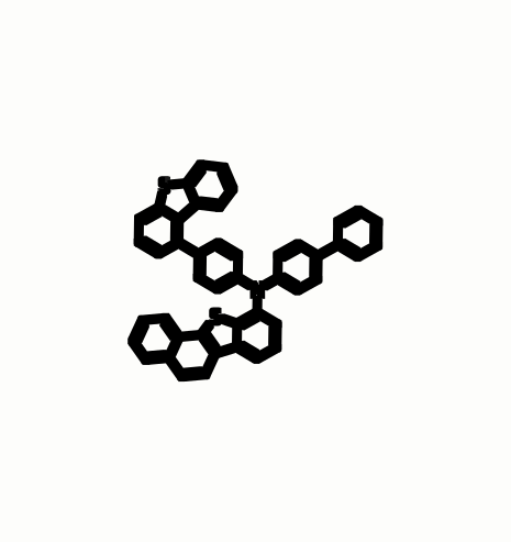 c1ccc(-c2ccc(N(c3ccc(-c4cccc5sc6ccccc6c45)cc3)c3cccc4c3sc3c5ccccc5ccc43)cc2)cc1